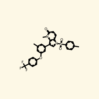 Cc1ccc(S(=O)(=O)n2cc(-c3cc(C)cc(Oc4ccc(C(F)(F)F)cc4)c3)c3c2ccc(=O)n3C)cc1